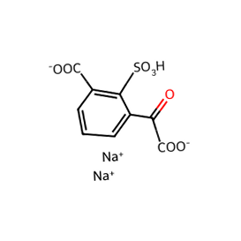 O=C([O-])C(=O)c1cccc(C(=O)[O-])c1S(=O)(=O)O.[Na+].[Na+]